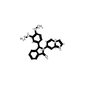 COc1ccc(C2c3ccccc3C(=O)N2c2ccn3ccnc3c2)cc1OC